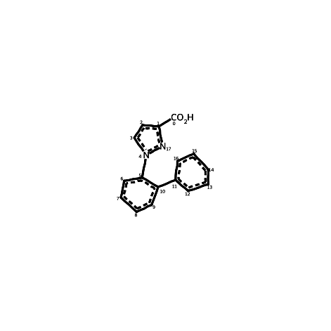 O=C(O)c1ccn(-c2ccccc2-c2ccccc2)n1